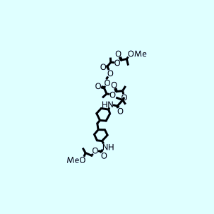 COC(C)COC(=O)NC1CCC(CC2CCC(NC(=O)C(C)(C)OC(C)C(=O)OC(C)C(=O)OCOC(=O)C(C)OC(=O)C(C)OC)CC2)CC1